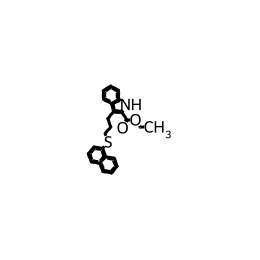 CCOC(=O)c1[nH]c2ccccc2c1CCCSc1cccc2ccccc12